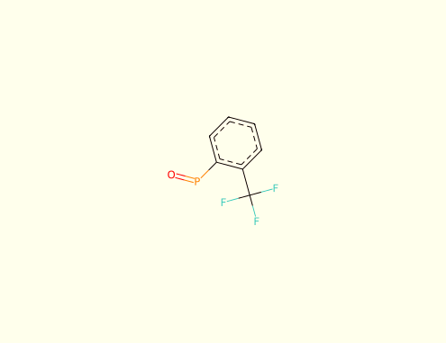 O=Pc1ccccc1C(F)(F)F